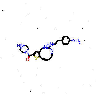 Nc1ccc(CCNC2=N/Cc3cc(C(=O)N4CCNCC4)sc3/C=C\C/C=N\2)cc1